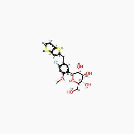 COc1cc(F)c(Cc2cc3sccc3s2)cc1[C@@H]1O[C@H](CO)[C@@H](O)[C@H](O)[C@H]1O